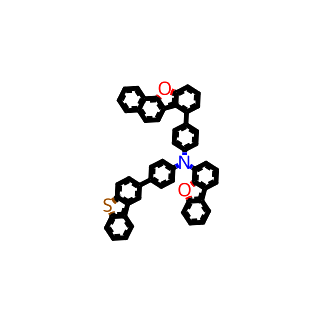 c1ccc2c(c1)ccc1c2oc2cccc(-c3ccc(N(c4ccc(-c5ccc6sc7ccccc7c6c5)cc4)c4cccc5c4oc4ccccc45)cc3)c21